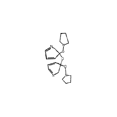 C1=CC(ON2CCCC2)(OC2(ON3CCCC3)C=CC=NC2)CN=C1